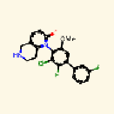 COc1cc(-c2cccc(F)c2)c(F)c(Cl)c1-n1c2c(ccc1=O)CNCC2